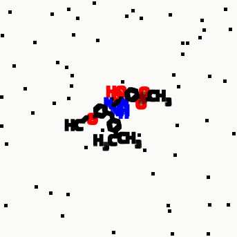 C#CCOc1ccc2c(c1)C(c1ccc(C(C)C)cc1)NC(C(=O)Nc1cc(S(=O)(=O)CC)ccc1O)=N2